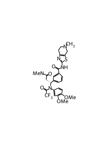 CNC(=O)C[C@H](c1cccc(C(=O)Nc2nc3c(s2)CN(C)CC3)c1)N(C(=O)C(F)(F)F)c1ccc(OC)c(OC)c1